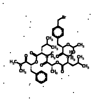 CC(C)C[C@@H](C(=O)O[C@H](Cc1ccccc1)C(=O)N(C)C)N(C)C(=O)[C@@H](C)OC(=O)[C@H](CC(C)C)N(C)C(=O)[C@@H](Cc1ccc(CBr)cc1)OC(C)O